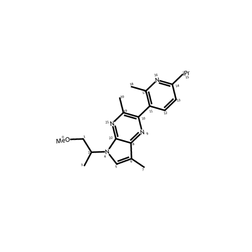 COCC(C)n1cc(C)c2nc(-c3ccc(C(C)C)nc3C)c(C)nc21